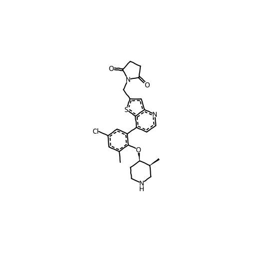 Cc1cc(Cl)cc(-c2ccnc3cc(CN4C(=O)CCC4=O)sc23)c1O[C@@H]1CCNC[C@@H]1C